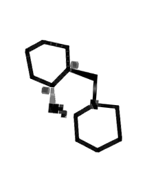 N[C@@H]1CCCC[C@H]1CN1CCCCC1